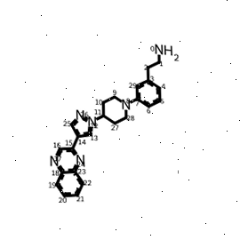 NCCc1cccc(N2CCC(n3cc(-c4cnc5ccccc5n4)cn3)CC2)c1